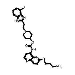 NCCCOc1ccc2nccc(NC(=O)OC3CCN(CCc4nc5c(F)cccc5[nH]4)CC3)c2n1